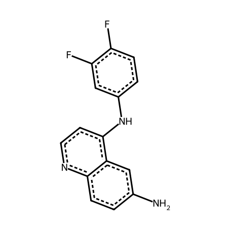 Nc1ccc2nccc(Nc3ccc(F)c(F)c3)c2c1